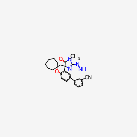 CN1C(=O)C2(CC3(CCCCCC3)Oc3ccc(-c4cccc(C#N)c4)cc32)N=C1N=N